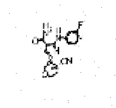 N#C[C@@H]1CCOC[C@H]1n1cc(C(N)=O)c(Nc2ccnc(F)c2)n1